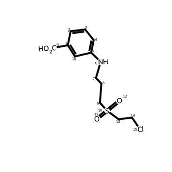 O=C(O)c1[c]ccc(NCCCS(=O)(=O)CCCl)c1